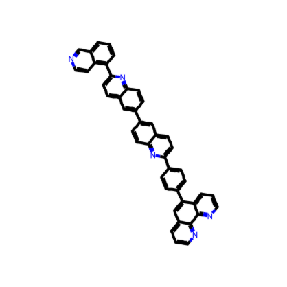 c1cc(-c2ccc3cc(-c4ccc5nc(-c6ccc(-c7cc8cccnc8c8ncccc78)cc6)ccc5c4)ccc3n2)c2ccncc2c1